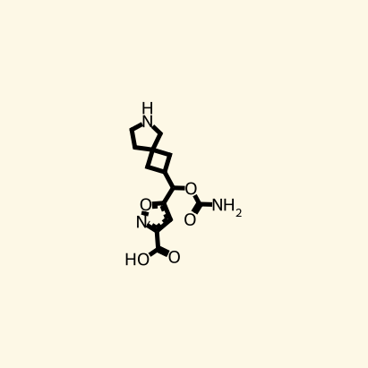 NC(=O)OC(c1cc(C(=O)O)no1)C1CC2(CCNC2)C1